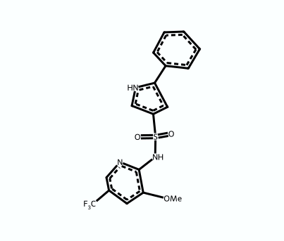 COc1cc(C(F)(F)F)cnc1NS(=O)(=O)c1c[nH]c(-c2ccccc2)c1